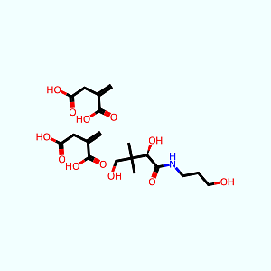 C=C(CC(=O)O)C(=O)O.C=C(CC(=O)O)C(=O)O.CC(C)(CO)[C@@H](O)C(=O)NCCCO